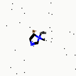 CCCC[N+]1(C)C=CN=C1.[Br-]